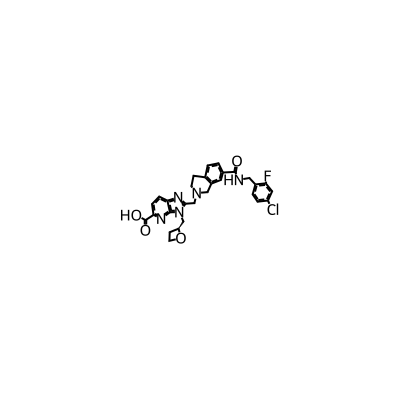 O=C(NCc1ccc(Cl)cc1F)c1ccc2c(c1)CN(Cc1nc3ccc(C(=O)O)nc3n1C[C@@H]1CCO1)CC2